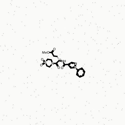 COC(=O)CC[C@H](NC(=O)c1cnn(-c2ccccc2)c1)C(=O)N1CCS(=O)(=O)CC1